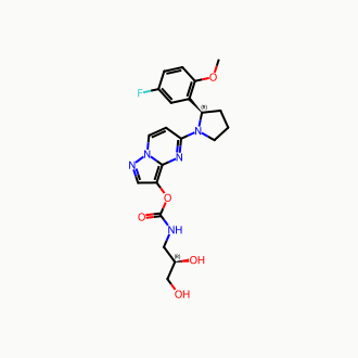 COc1ccc(F)cc1[C@H]1CCCN1c1ccn2ncc(OC(=O)NC[C@@H](O)CO)c2n1